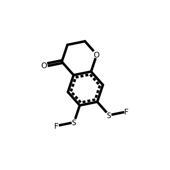 O=C1CCOc2cc(SF)c(SF)cc21